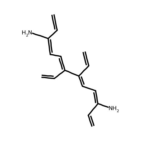 C=C\C(N)=C/C=C(C=C)/C(C=C)=C/C=C(/N)C=C